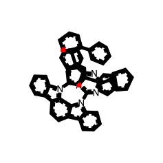 c1ccc(-c2cc(-c3ccccc3-c3ccccc3)cc(-n3c4ccccc4c4ccc5c6ccccc6n(-c6nc(-c7ccccc7)nc(-c7ccccc7)n6)c5c43)c2)cc1